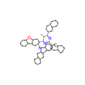 CC1C(c2ccc3ccccc3c2)=NC(c2ccc3ccccc3c2)=NC1c1cc2oc3ccccc3c2cc1-n1c2ccccc2c2cc3ccccc3cc21